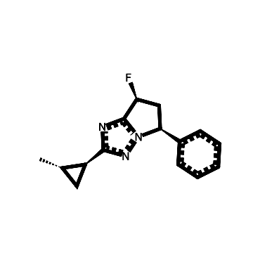 C[C@H]1C[C@@H]1c1nc2n(n1)[C@H](c1ccccc1)C[C@@H]2F